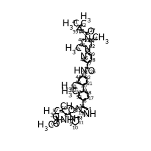 COC(=O)NC(C(=O)N1CCC[C@H]1c1nc(-c2ccc(-c3ccc(NC(=O)c4ccc(N5C[C@H](C)N(C(=O)[C@H]6CC6(C)C)CC5C)nc4)cc3C)c(C)c2)c[nH]1)C(C)C